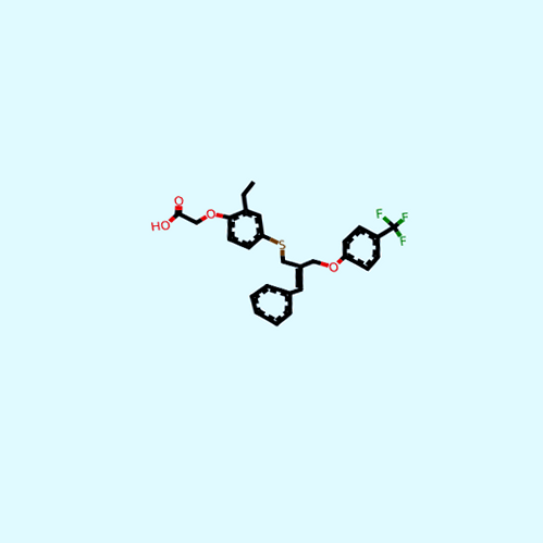 CCc1cc(SC/C(=C\c2ccccc2)COc2ccc(C(F)(F)F)cc2)ccc1OCC(=O)O